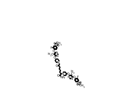 CCCC(=O)C(CCCCC(=O)CN1CCC(Oc2ncnc(Oc3ccc(S(C)(=O)=O)cc3F)c2C)CC1)N1CCC(Oc2ncnc(Oc3ccc(S(C)(=O)=O)cc3F)c2C)CC1